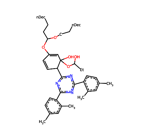 CCCCCCCCCCCCOC(CCCCCCCCCCCC)OC1=CC(O)(OC(O)CC)C(c2nc(-c3ccc(C)cc3C)nc(-c3ccc(C)cc3C)n2)C=C1